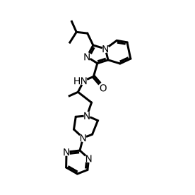 CC(C)Cc1nc(C(=O)NC(C)CN2CCN(c3ncccn3)CC2)c2ccccn12